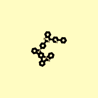 c1ccc(-c2ccc(-c3nc(-c4ccc(-n5c6ccccc6c6cc7c8ccccc8c8nc9ccccc9n8c7cc65)cc4)nc4ccccc34)cn2)cc1